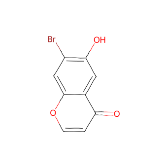 O=c1ccoc2cc(Br)c(O)cc12